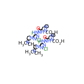 CN(C)[C@@H]1CCCN(c2nc(Cl)nc(NNC(=O)[C@@H](CNC(=O)O)CC3CCCC3)c2F)C1.CN(C)[C@@H]1CCCN(c2nc(Cl)nc(NNC(=O)[C@@H](CNC(=O)O)CC3CCCC3)c2F)C1